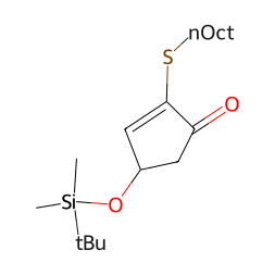 CCCCCCCCSC1=CC(O[Si](C)(C)C(C)(C)C)CC1=O